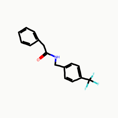 O=C(Cc1ccccc1)NCc1ccc(C(F)(F)F)cc1